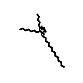 CCCCCCCCCCCCCC[n+]1ccn(CCCCC)c1CCCCCCC